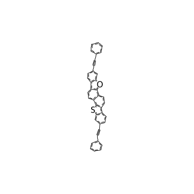 C(#Cc1ccc2c(c1)oc1c2ccc2c1ccc1c3ccc(C#Cc4ccccc4)cc3sc12)c1ccccc1